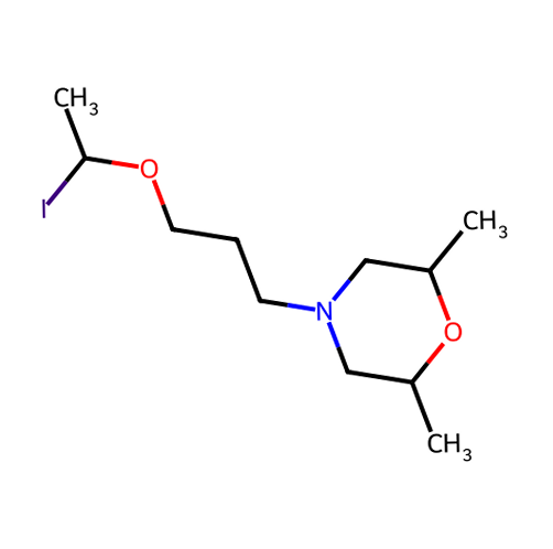 CC(I)OCCCN1CC(C)OC(C)C1